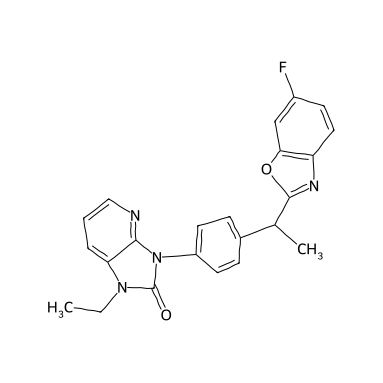 CCn1c(=O)n(-c2ccc(C(C)c3nc4ccc(F)cc4o3)cc2)c2ncccc21